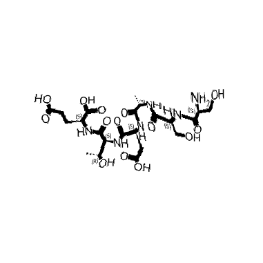 C[C@H](NC(=O)[C@H](CO)NC(=O)[C@@H](N)CO)C(=O)N[C@@H](CC(=O)O)C(=O)N[C@H](C(=O)N[C@@H](CCC(=O)O)C(=O)O)[C@@H](C)O